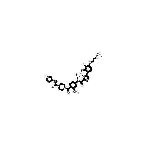 C=NCCOc1ccc(-c2cnc(C(=O)Nc3ccc(C(=O)N4CCN(C(=O)N[C@@H]5CCNC5)CC4)c(C)c3)n2C)c(F)c1F